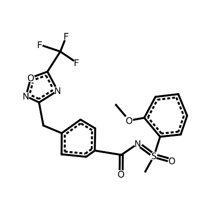 COc1ccccc1S(C)(=O)=NC(=O)c1ccc(Cc2noc(C(F)(F)F)n2)cc1